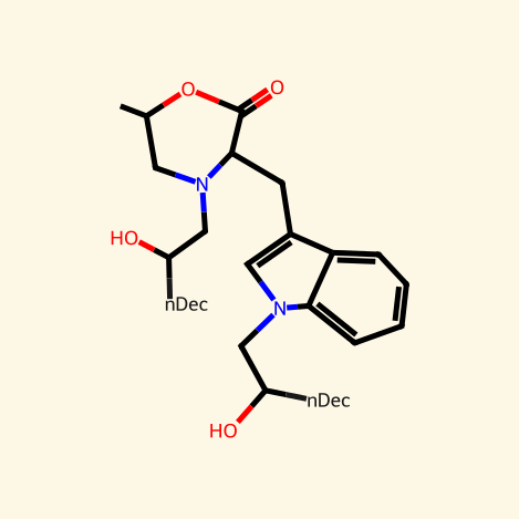 CCCCCCCCCCC(O)CN1CC(C)OC(=O)C1Cc1cn(CC(O)CCCCCCCCCC)c2ccccc12